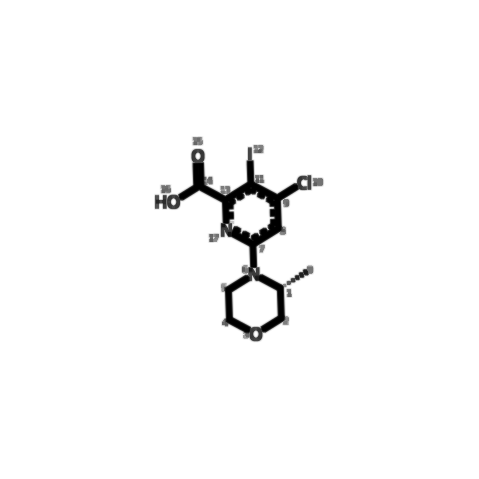 C[C@@H]1COCCN1c1cc(Cl)c(I)c(C(=O)O)n1